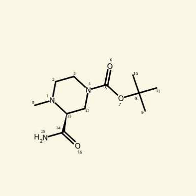 CN1CCN(C(=O)OC(C)(C)C)C[C@H]1C(N)=O